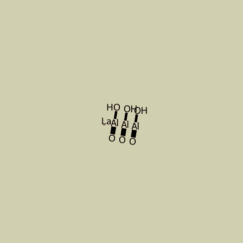 [La].[O]=[Al][OH].[O]=[Al][OH].[O]=[Al][OH]